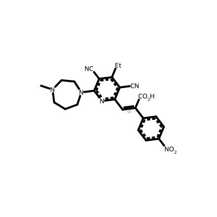 CCc1c(C#N)c(/C=C(\C(=O)O)c2ccc([N+](=O)[O-])cc2)nc(N2CCCN(C)CC2)c1C#N